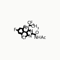 CC(=O)NC(=O)c1nc(Cl)c(-c2c(F)cc(F)cc2F)c(N[C@@H](C)C(F)(F)F)n1